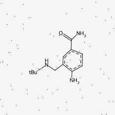 CC(C)(C)NCc1cc(C(N)=O)ccc1N